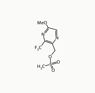 COc1cnc(COS(C)(=O)=O)c(C(F)(F)F)n1